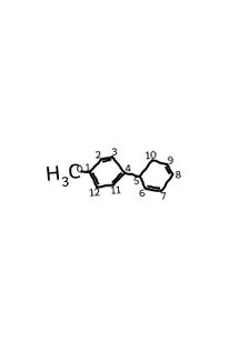 Cc1ccc(C2C=CC=CC2)cc1